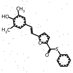 Cc1cc(/C=C/c2ccc(C(=O)Sc3ccccc3)o2)cc(C)c1O